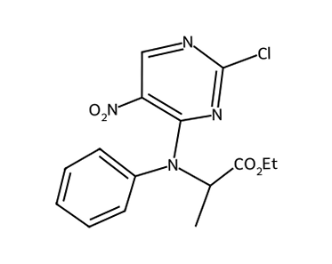 CCOC(=O)C(C)N(c1ccccc1)c1nc(Cl)ncc1[N+](=O)[O-]